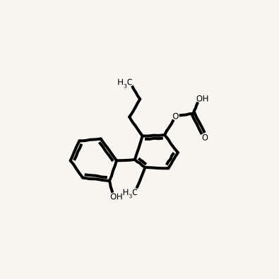 CCCc1c(OC(=O)O)ccc(C)c1-c1ccccc1O